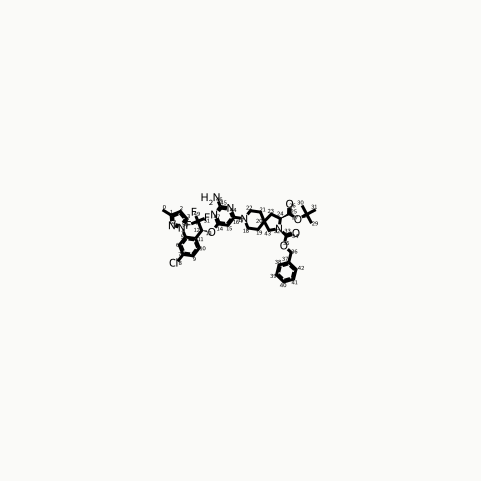 Cc1ccn(-c2cc(Cl)ccc2[C@@H](Oc2cc(N3CCC4(CC3)C[C@@H](C(=O)OC(C)(C)C)N(C(=O)OCc3ccccc3)C4)nc(N)n2)C(F)(F)F)n1